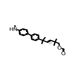 CNc1ccc(-c2ccc(C(C)(C)/C=C/C(C)(C)COC=O)cc2)cc1